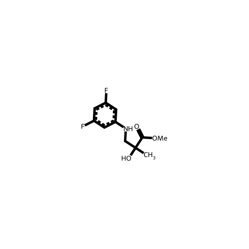 COC(=O)C(C)(O)CNc1cc(F)cc(F)c1